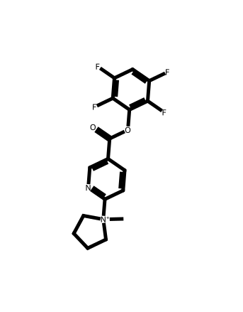 C[N+]1(c2ccc(C(=O)Oc3c(F)c(F)cc(F)c3F)cn2)CCCC1